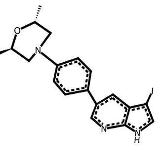 C[C@@H]1CN(c2ccc(-c3cnc4[nH]cc(I)c4c3)cc2)C[C@@H](C)O1